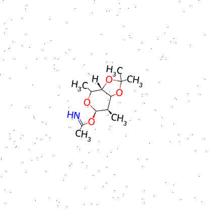 CC(=N)O[C@H]1OC(C)[C@@H]2OC(C)(C)OC2[C@H]1C